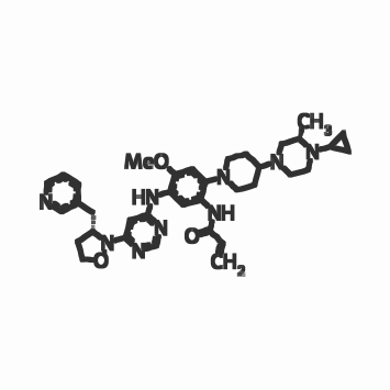 C=CC(=O)Nc1cc(Nc2cc(N3OCC[C@@H]3Cc3cccnc3)ncn2)c(OC)cc1N1CCC(N2CCN(C3CC3)[C@H](C)C2)CC1